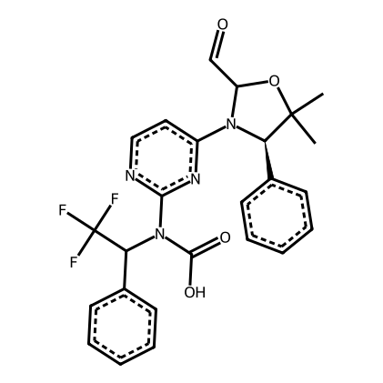 CC1(C)OC(C=O)N(c2ccnc(N(C(=O)O)C(c3ccccc3)C(F)(F)F)n2)[C@@H]1c1ccccc1